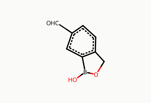 O=Cc1ccc2c(c1)B(O)OC2